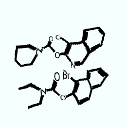 CCN(CC)C(=O)Oc1ccc2ccccc2c1Br.O=C(Oc1ncc2ccccc2c1Cl)N1CCCCC1